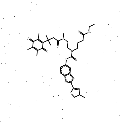 CCNC(=O)CCCN(CCN(C)C(=O)CC(C)(C)C1=C(C)C(=O)C(C)=C(C)C1=O)C(=O)Oc1ccc2nc(C3=NC(C)CS3)sc2c1